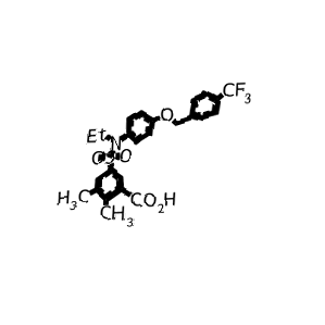 CCN(c1ccc(OCc2ccc(C(F)(F)F)cc2)cc1)S(=O)(=O)c1cc(C)c(C)c(C(=O)O)c1